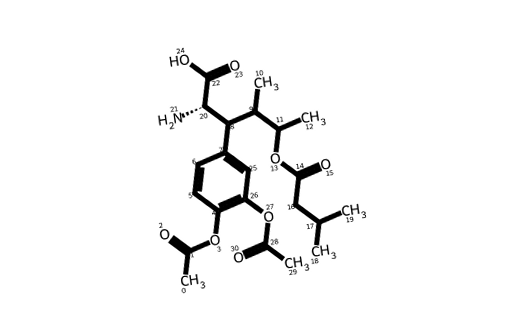 CC(=O)Oc1ccc(C(C(C)C(C)OC(=O)CC(C)C)[C@H](N)C(=O)O)cc1OC(C)=O